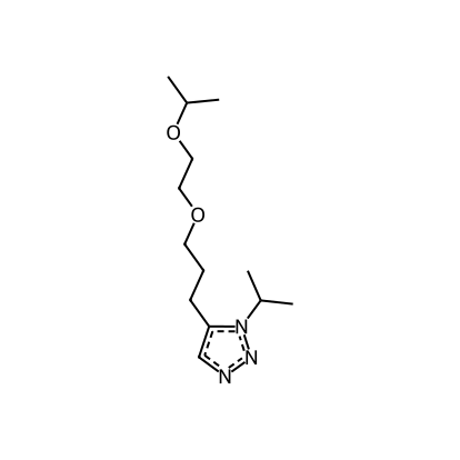 CC(C)OCCOCCCc1cnnn1C(C)C